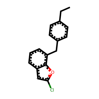 CCc1ccc(Cc2cccc3[c]c(Cl)oc23)cc1